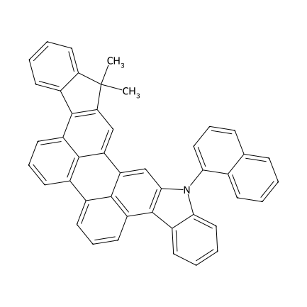 CC1(C)c2ccccc2-c2c1cc1c3cc4c(c5cccc(c6cccc2c61)c35)c1ccccc1n4-c1cccc2ccccc12